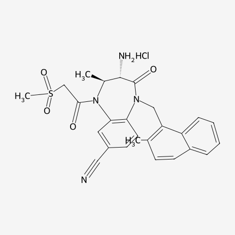 Cc1ccc2ccccc2c1CN1C(=O)[C@@H](N)[C@H](C)N(C(=O)CS(C)(=O)=O)c2cc(C#N)ccc21.Cl